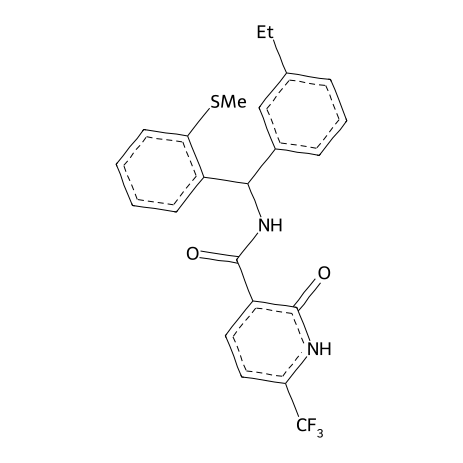 CCc1cccc(C(NC(=O)c2ccc(C(F)(F)F)[nH]c2=O)c2ccccc2SC)c1